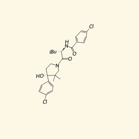 CC[C@@H](C)[C@@H](NC(=O)c1ccc(Cl)cc1)C(=O)N1CC[C@](O)(c2ccc(Cl)cc2)C(C)(C)C1